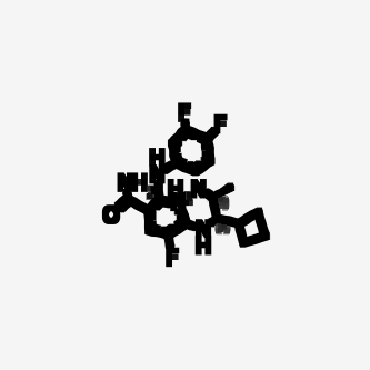 C[C@H](N)[C@H](Nc1nc(Nc2ccc(F)c(F)c2)c(C(N)=O)cc1F)C1CCC1